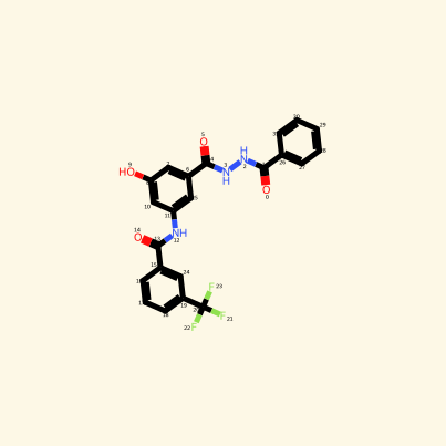 O=C(NNC(=O)c1cc(O)cc(NC(=O)c2cccc(C(F)(F)F)c2)c1)c1ccccc1